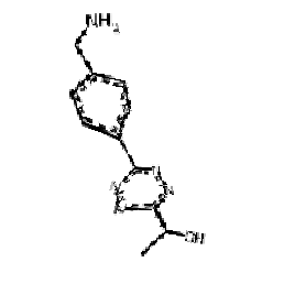 CC(O)c1nnc(-c2ccc(CN)cc2)nn1